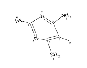 Cc1c(N)nc(S)nc1N